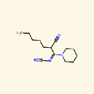 CCCCCC(C#N)C(=NC#N)N1CCCCC1